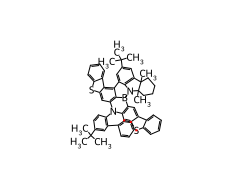 CC(C)(C)c1ccc(N2c3cc4sc5ccccc5c4cc3B3c4c2cc2sc5ccccc5c2c4-c2cc(C(C)(C)C)cc4c2N3C2(C)CCCCC42C)c(-c2ccccc2)c1